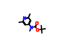 Cc1cc(N(C)C(=O)OC(C)(C)C)cc(C)n1